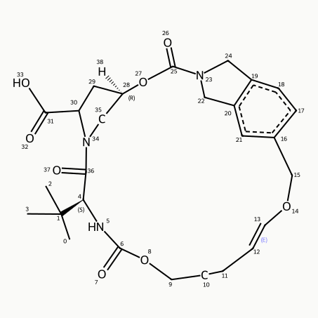 CC(C)(C)[C@@H]1NC(=O)OCCC/C=C/OCc2ccc3c(c2)CN(C3)C(=O)O[C@@H]2CC(C(=O)O)N(C2)C1=O